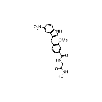 COc1cc(C(=O)NCC(=O)NO)ccc1Cc1c[nH]c2ccc([N+](=O)[O-])cc12